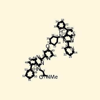 CNC(=O)CNc1nc(-c2cc(OC3CCC(Nc4nc(-c5ccccn5)nc5scc(-c6ccccc6)c45)CC3)ccn2)nc2scc(-c3ccccc3)c12